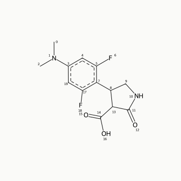 CN(C)c1cc(F)c(C2CNC(=O)C2C(=O)O)c(F)c1